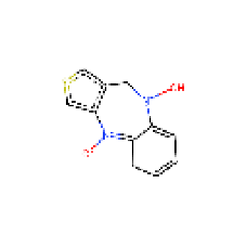 [O-][N+]1=C2CC=CC=C2N(O)Cc2cscc21